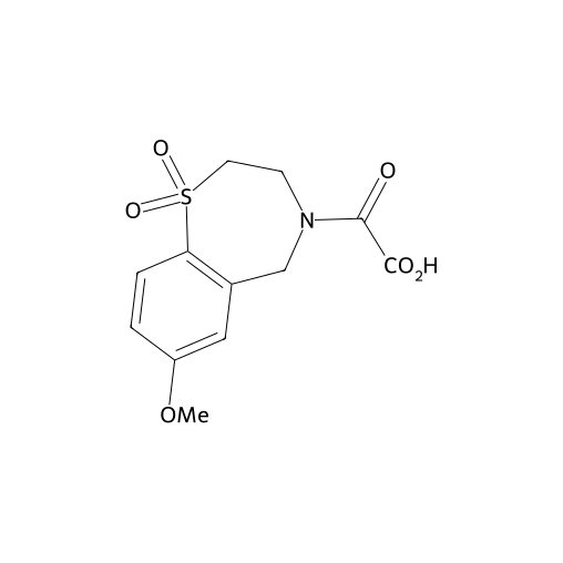 COc1ccc2c(c1)CN(C(=O)C(=O)O)CCS2(=O)=O